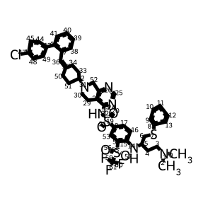 CN(C)CCC(CSc1ccccc1)Nc1ccc(S(=O)(=O)Nc2ncnc3c2CCN(C2CCC(=Cc4ccccc4-c4ccc(Cl)cc4)CC2)C3)cc1S(=O)(=O)C(F)(F)F